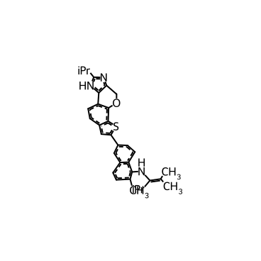 CC(C)=C(Nc1c(C)ccc2cc(-c3cc4ccc5c(c4s3)OCc3nc(C(C)C)[nH]c3-5)ccc12)C(C)C